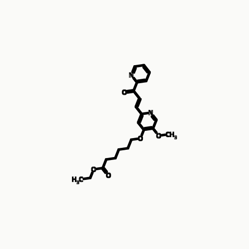 CCOC(=O)CCCCCOc1cc(/C=C/C(=O)c2ccccn2)ncc1OC